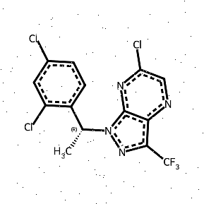 C[C@H](c1ccc(Cl)cc1Cl)n1nc(C(F)(F)F)c2ncc(Cl)nc21